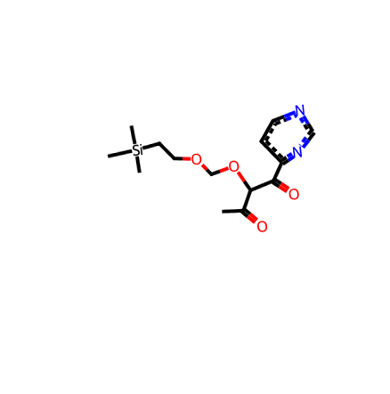 CC(=O)C(OCOCC[Si](C)(C)C)C(=O)c1ccncn1